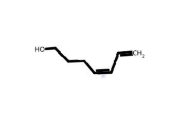 C=C/C=C\CCCO